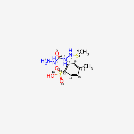 CSNNC(=O)NN.Cc1ccc(S(=O)(=O)O)cc1